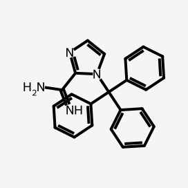 N=C(N)c1nccn1C(c1ccccc1)(c1ccccc1)c1ccccc1